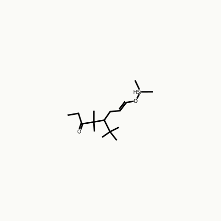 CCC(=O)C(C)(C)C(CC=CO[SiH](C)C)C(C)(C)C